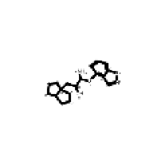 NC(Oc1cccc2sncc12)C(O)CC12CCCC1CCC2